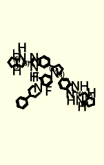 Fc1cc(N2[C@@H](c3ccc4nc([C@@H]5C[C@@H]6CCC[C@@H]6N5)[nH]c4c3)CC[C@@H]2c2ccc3nc([C@@H]4C[C@@H]5CCC[C@@H]5N4)[nH]c3c2)cc(F)c1N1CCC(c2ccccc2)CC1